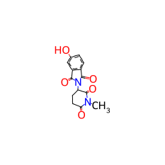 CN1C(=O)CCC(N2C(=O)c3ccc(O)cc3C2=O)C1=O